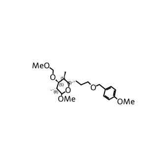 COCO[C@H]1[C@@H](C)[C@H](CCCOCc2ccc(OC)cc2)OC(OC)[C@@H]1C